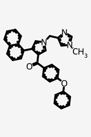 Cn1cnc(Cn2cc(C(=O)c3ccc(Oc4ccccc4)cc3)c(-c3cccc4ccccc34)c2)c1